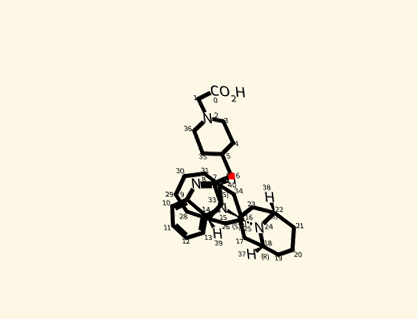 O=C(O)CN1CCC(Cc2nc3ccccc3n2[C@@H]2C[C@H]3CCC[C@@H](C2)N3[C@@H]2C[C@@H]3CCCC[C@@H](C3)C2)CC1